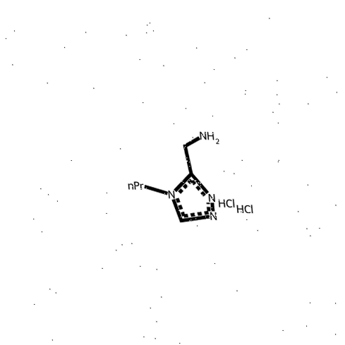 CCCn1cnnc1CN.Cl.Cl